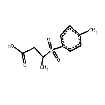 Cc1ccc(S(=O)(=O)C(C)CC(=O)O)cc1